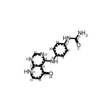 NC(=O)Nc1ccc(Nc2ncnc3[nH]ccc(=O)c23)cc1